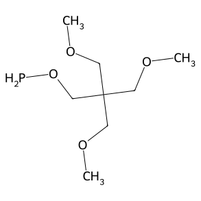 COCC(COC)(COC)COP